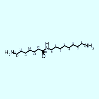 NCCCCCCCCNC(=O)CCCCCCN